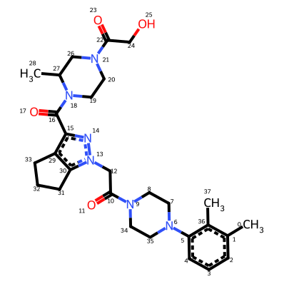 Cc1cccc(N2CCN(C(=O)Cn3nc(C(=O)N4CCN(C(=O)CO)CC4C)c4c3CCC4)CC2)c1C